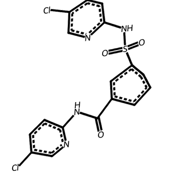 O=C(Nc1ccc(Cl)cn1)c1cccc(S(=O)(=O)Nc2ccc(Cl)cn2)c1